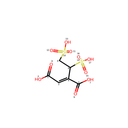 O=C(O)/C=C(/C(=O)O)C(CS(=O)(=O)O)S(=O)(=O)O